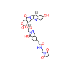 CCc1c2c(nc3ccc(O)cc13)-c1cc3c(c(=O)n1C2)COC(=O)C3(CC)OC(=O)CN1N=Cc2cc(CCC(=O)NCCN3C(=O)C=CC3=O)ccc2B1O